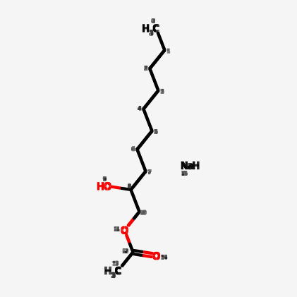 CCCCCCCCC(O)COC(C)=O.[NaH]